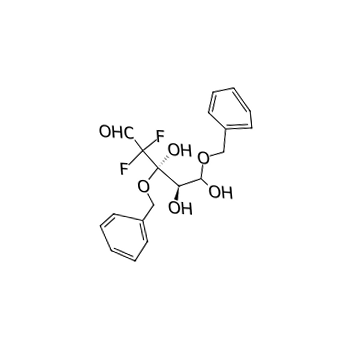 O=CC(F)(F)[C@](O)(OCc1ccccc1)[C@H](O)C(O)OCc1ccccc1